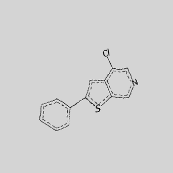 Clc1cncc2sc(-c3ccccc3)cc12